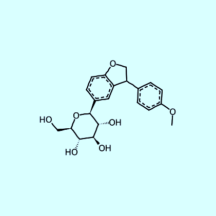 COc1ccc(C2COc3ccc([C@@H]4O[C@H](CO)[C@@H](O)[C@H](O)[C@H]4O)cc32)cc1